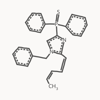 C/C=C\C=C/c1nc(P(=S)(c2ccccc2)c2ccccc2)cn1Cc1ccccc1